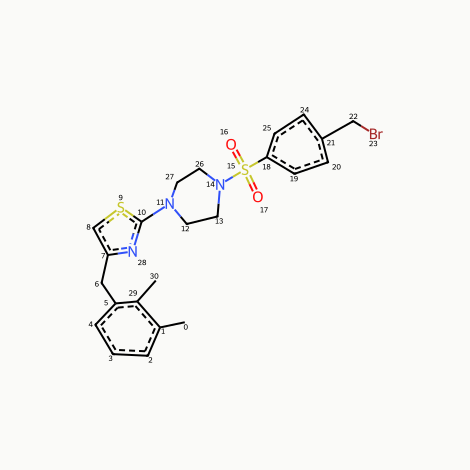 Cc1cccc(Cc2csc(N3CCN(S(=O)(=O)c4ccc(CBr)cc4)CC3)n2)c1C